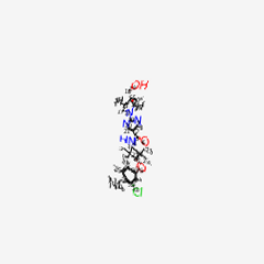 CC1(C)[C@H](NC(=O)c2cnc(N3C[C@H]4C[C@@H]3C[C@H]4CO)nc2)C(C)(C)[C@H]1Oc1ccc(C#N)c(Cl)c1